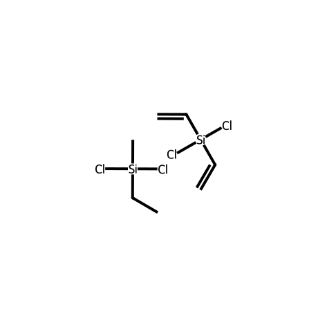 C=C[Si](Cl)(Cl)C=C.CC[Si](C)(Cl)Cl